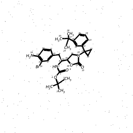 CC(C)(C)OC(=O)N[C@@H](Cc1ccc(N)c(Br)c1)C1CN(C2(c3cccc(C(C)(C)C)c3)CC2)C(=O)O1